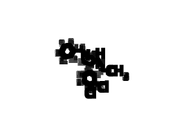 CCN[C@@H]1CN(Cc2ccccc2)C[C@H]1c1ccc(Cl)c(Cl)c1